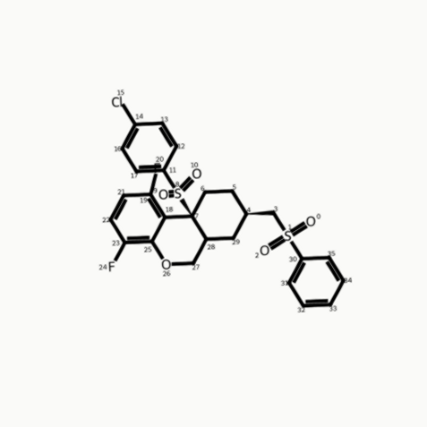 O=S(=O)(C[C@@H]1CC[C@@]2(S(=O)(=O)c3ccc(Cl)cc3)c3c(F)ccc(F)c3OCC2C1)c1ccccc1